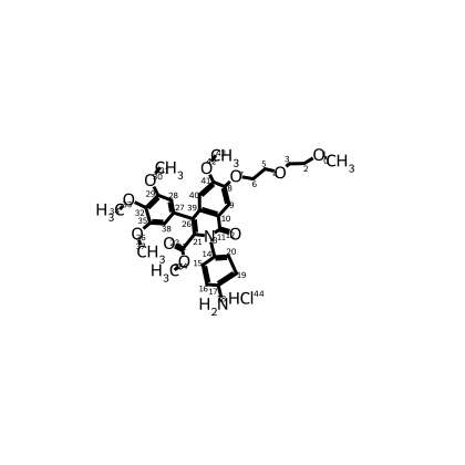 COCCOCCOc1cc2c(=O)n(-c3ccc(N)cc3)c(C(=O)OC)c(-c3cc(OC)c(OC)c(OC)c3)c2cc1OC.Cl